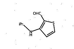 CC(C)Nc1ccsc1C=O